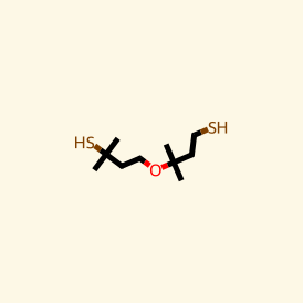 CC(C)(S)CCOC(C)(C)CCS